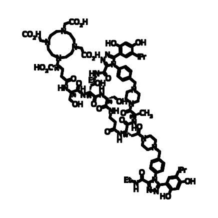 CCNC(=O)c1nnc(-c2cc(C(C)C)c(O)cc2O)n1-c1ccc(CN2CCN(C(=O)C[C@H](NC(=O)CCNC(=O)[C@@H](CO)NC(=O)[C@@H](CO)NC(=O)[C@@H](CO)NC(=O)CC[C@H](C(=O)O)N3CCN(CC(=O)O)CCN(CC(=O)O)CCN(CC(=O)O)CC3)C(=O)N[C@H](C)C(=O)N3CCN(Cc4ccc(-n5c(C(=O)NCC)nnc5-c5cc(C(C)C)c(O)cc5O)cc4)CC3)CC2)cc1